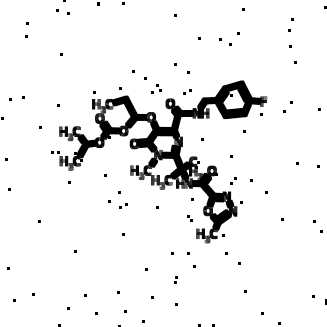 CCC(OC(=O)OC(C)C)Oc1c(C(=O)NCc2ccc(F)cc2)nc(C(C)(C)NC(=O)c2nnc(C)o2)n(C)c1=O